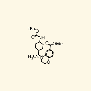 COC(=O)c1ccc2c(c1)N([C@@H](C)C1CCC(NC(=O)OC(C)(C)C)CC1)CCO2